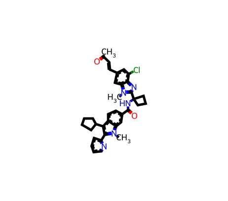 CC(=O)/C=C/c1cc(Cl)c2nc(C3(NC(=O)c4ccc5c(C6CCCC6)c(-c6ccccn6)n(C)c5c4)CCC3)n(C)c2c1